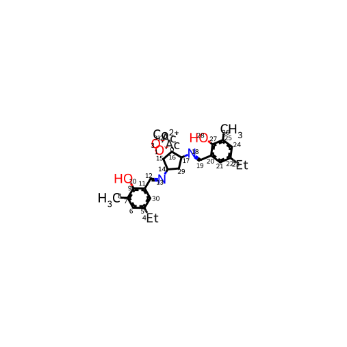 CC(=O)[O-].CC(=O)[O-].CCc1cc(C)c(O)c(C=NC2CCC(N=Cc3cc(CC)cc(C)c3O)C2)c1.[Co+2]